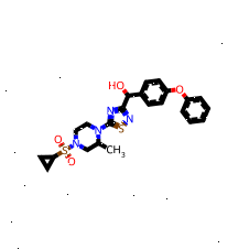 CC1CN(S(=O)(=O)C2CC2)CCN1c1nc(C(O)c2ccc(Oc3ccccc3)cc2)ns1